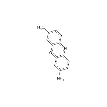 Cc1ccc2nc3ccc(N)cc3[o+]c2c1